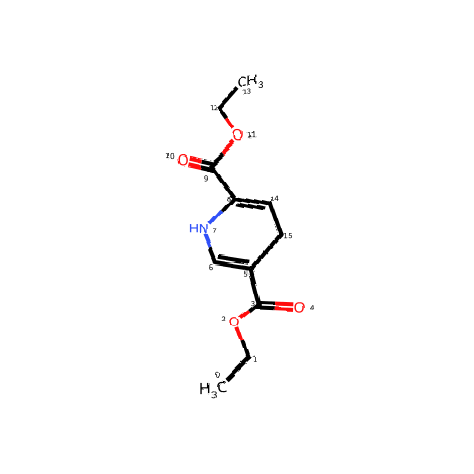 CCOC(=O)C1=CNC(C(=O)OCC)=CC1